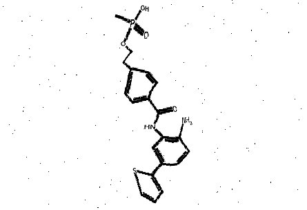 CP(=O)(O)OCCc1ccc(C(=O)Nc2cc(-c3cccs3)ccc2N)cc1